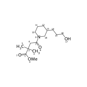 COC(=O)C(C)(C)CC(=O)N1CCCC(CCCO)C1